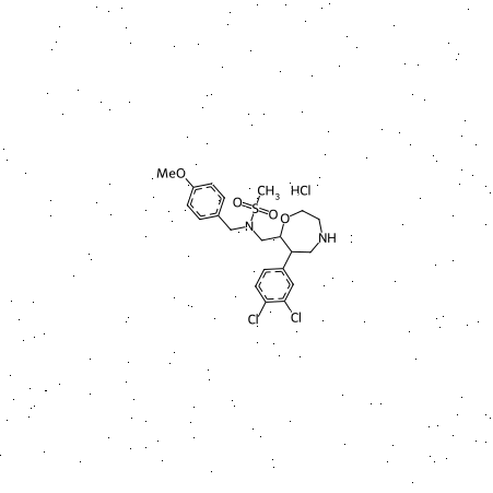 COc1ccc(CN(CC2OCCNCC2c2ccc(Cl)c(Cl)c2)S(C)(=O)=O)cc1.Cl